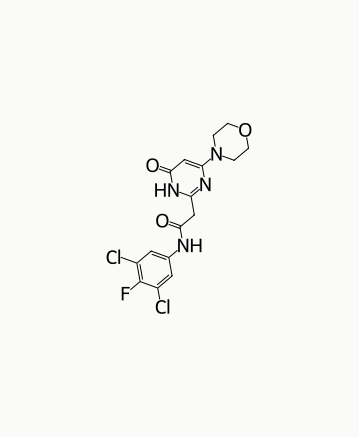 O=C(Cc1nc(N2CCOCC2)cc(=O)[nH]1)Nc1cc(Cl)c(F)c(Cl)c1